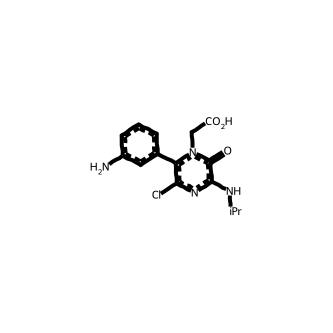 CC(C)Nc1nc(Cl)c(-c2cccc(N)c2)n(CC(=O)O)c1=O